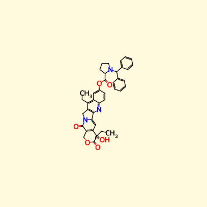 CCc1c2c(nc3ccc(OC(=O)C4CCCN4C(c4ccccc4)c4ccccc4)cc13)-c1cc3c(c(=O)n1C2)COC(=O)[C@]3(O)CC